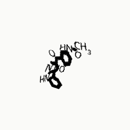 CC(=O)Nc1ccc(O)c(C(=O)c2cnc3[nH]c4ccccc4c3c2)c1